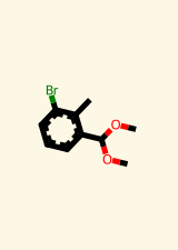 COC(OC)c1cccc(Br)c1C